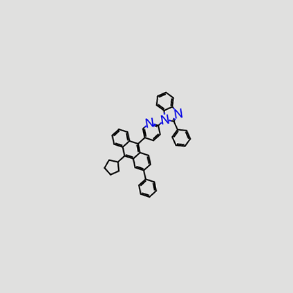 c1ccc(-c2ccc3c(-c4ccc(-n5c(-c6ccccc6)nc6ccccc65)nc4)c4ccccc4c(C4CCCC4)c3c2)cc1